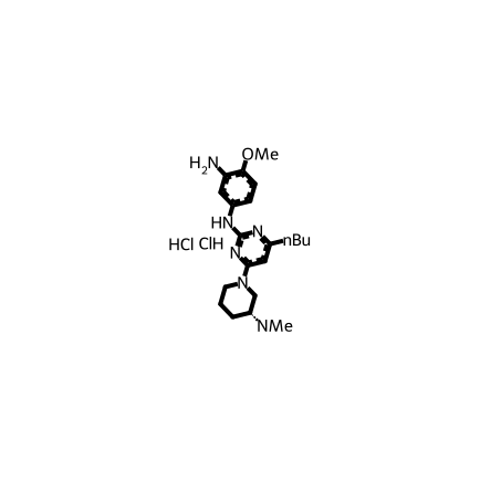 CCCCc1cc(N2CCC[C@@H](NC)C2)nc(Nc2ccc(OC)c(N)c2)n1.Cl.Cl